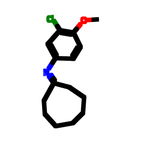 COc1ccc(N=C2CCCCCCC2)cc1Cl